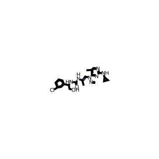 C=NN(/C=C(\C)NC(=O)NC(CO)c1cccc(Cl)c1)c1nc(NC2CC2)ncc1C